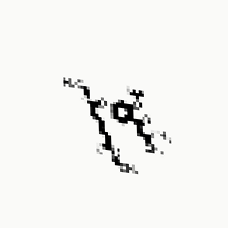 CC(C)CC(=O)c1ccccc1OC(F)F.CCOC(=O)CCCCC(=O)OCC